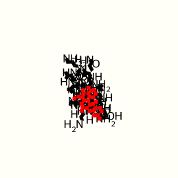 CC(C)C[C@H](NC(=O)[C@H](C)NC(=O)[C@H](CC(N)=O)NC(=O)[C@H](C)NC(=O)[C@@H](NC(=O)CNC(=O)[C@H](C)NC(=O)[C@@H](NC(=O)[C@@H](NC(=O)[C@H](CCCCN)NC(=O)[C@H](CCC(N)=O)NC(=O)[C@@H](N)Cc1ccc(O)cc1)C(C)C)C(C)C)C(C)C)C(=O)N[C@@H](C)C(=O)N[C@@H](Cc1c[nH]cn1)C(=O)N[C@@H](CCCCN)C(=O)N[C@@H](Cc1ccc(O)cc1)C(=O)O